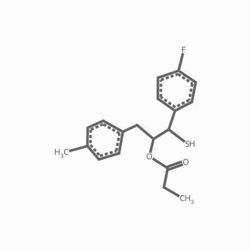 CCC(=O)OC(Cc1ccc(C)cc1)C(S)c1ccc(F)cc1